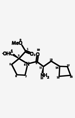 COC(=O)[C@@]1([C]=O)CCCN1C(=O)[C@H](N)CC1CCC1